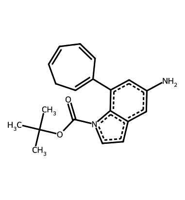 CC(C)(C)OC(=O)n1ccc2cc(N)cc(C3=CCC=CC=C3)c21